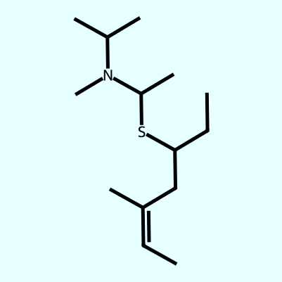 C/C=C(/C)CC(CC)SC(C)N(C)C(C)C